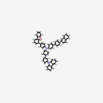 c1cc(-c2ccc(N(c3ccc(-c4ccc(-c5ccc6ccccc6c5)cc4)cc3)c3ccc(-c4cccc5c4oc4ccccc45)cc3)cc2)cc(-n2c3ccccc3c3ccccc32)c1